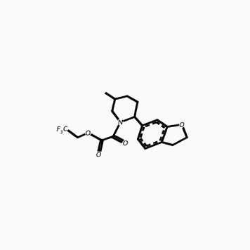 CC1CCC(c2ccc3c(c2)OCC3)N(C(=O)C(=O)OCC(F)(F)F)C1